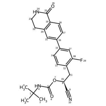 CC(C)(C)NC(=O)O[C@H](C#N)Cc1ccc(-c2ccc3c(c2)CCNC3=O)cc1F